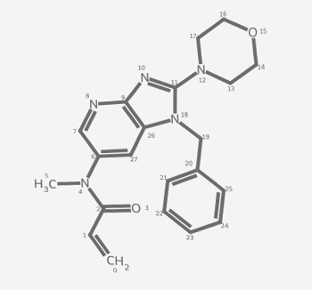 C=CC(=O)N(C)c1cnc2nc(N3CCOCC3)n(Cc3ccccc3)c2c1